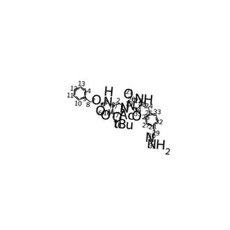 CC(=O)N(C[C@H](NC(=O)OCc1ccccc1)C(=O)OC(C)(C)C)N1C(=O)N[C@H](Cc2ccc(C=NN)cc2)C1=O